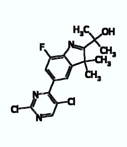 CC(C)(O)C1=Nc2c(F)cc(-c3nc(Cl)ncc3Cl)cc2C1(C)C